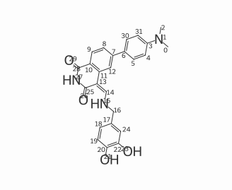 CN(C)c1ccc(-c2ccc3c(c2)C(=CNCc2ccc(O)c(O)c2)C(=O)NC3=O)cc1